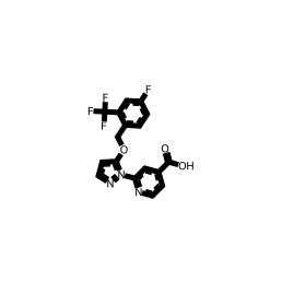 O=C(O)c1ccnc(-n2nccc2OCc2ccc(F)cc2C(F)(F)F)c1